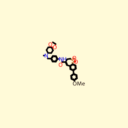 COc1ccc(-c2ccc3c(c2)C=C(C(=O)Nc2ccc(CN(C)C4CCC5(CC4)OCCO5)cc2)CCS3(=O)=O)cc1